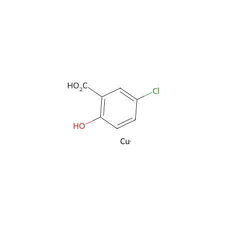 O=C(O)c1cc(Cl)ccc1O.[Cu]